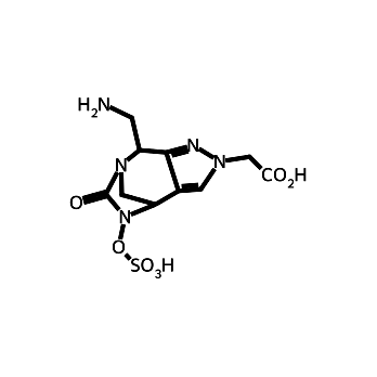 NCC1c2nn(CC(=O)O)cc2C2CN1C(=O)N2OS(=O)(=O)O